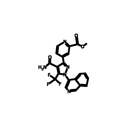 COC(=O)c1cc(-c2nn(-c3cncc4ccccc34)c(C(F)(F)F)c2C(N)=O)ccn1